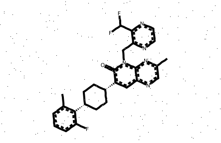 Cc1cnc2cc([C@H]3CC[C@@H](c4c(C)cccc4F)CC3)c(=O)n(Cc3nccnc3C(F)F)c2n1